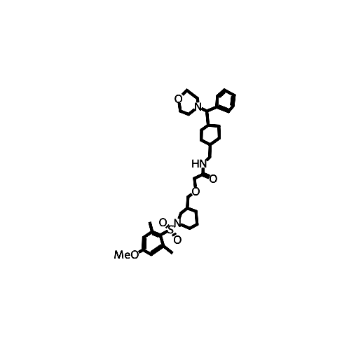 COc1cc(C)c(S(=O)(=O)N2CCCC(COCC(=O)NCC3CCC(C(c4ccccc4)N4CCOCC4)CC3)C2)c(C)c1